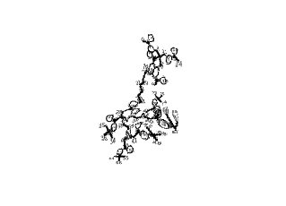 CC(=O)OCC(COC(C)=O)(COC(C)=O)C(=O)OCCCCCCOC(=O)CC(C(=O)OC(C)(C)C)N(CCN(CC(=O)OC(C)(C)C)CC(=O)OC(C)(C)C)CCN(CC(=O)OC(C)(C)C)CC(=O)OC(C)(C)C